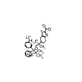 CC(C)(CO[Si](c1ccccc1)(c1ccccc1)C(C)(C)C)N1CCc2nc(C(=O)[O-])sc2C1.[Li+]